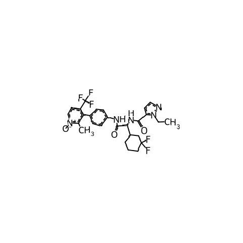 CCn1nccc1C(=O)NC(C(=O)Nc1ccc(-c2c(C(F)(F)F)cc[n+]([O-])c2C)cc1)C1CCCC(F)(F)C1